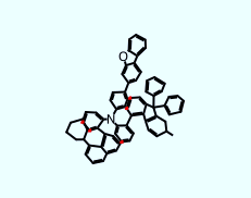 CC1C=CC2=C(C1)C(c1ccccc1)(c1ccccc1)c1cccc(-c3ccccc3N(c3ccc(-c4ccc5c(c4)oc4ccccc45)cc3)c3ccccc3-c3cccc4cccc(C5CCCCC5)c34)c12